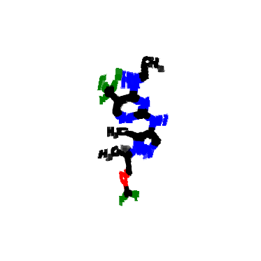 CCNc1nc(Nc2cnn([C@H](C)COC(F)F)c2C)ncc1C(F)(F)F